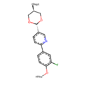 CCCCCCC[C@H]1CO[C@H](c2ccc(-c3ccc(OCCCCCC)c(F)c3)nc2)OC1